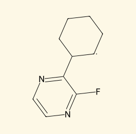 Fc1nccnc1C1[CH]CCCC1